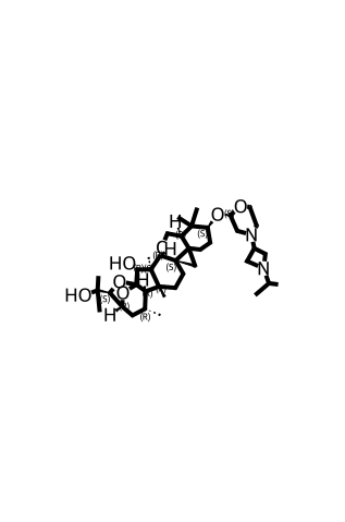 CC(C)N1CC(N2CCO[C@@H](O[C@H]3CCC45C[C@]46CC[C@]4(C)[C@H]7[C@H](C)C[C@H]8OC7(O[C@@H]8C(C)(C)O)[C@H](O)[C@@]4(C)[C@@H]6CC[C@H]5C3(C)C)C2)C1